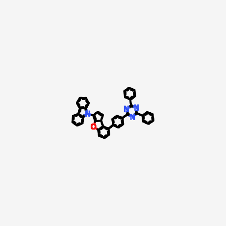 C1=CC2C(=C1n1c3ccccc3c3ccccc31)Oc1cccc(-c3ccc(-c4nc(-c5ccccc5)nc(-c5ccccc5)n4)cc3)c12